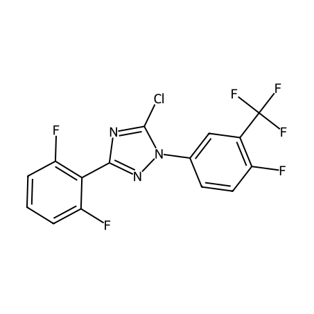 Fc1ccc(-n2nc(-c3c(F)cccc3F)nc2Cl)cc1C(F)(F)F